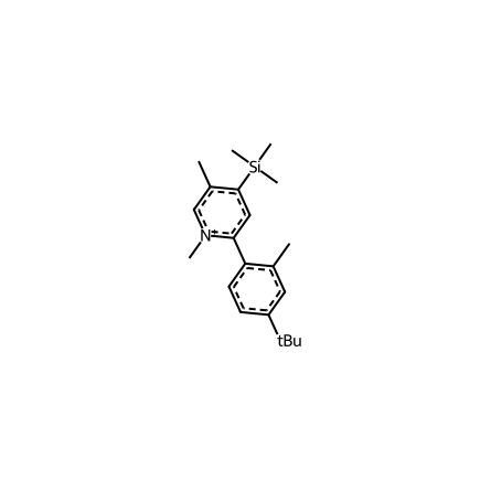 Cc1cc(C(C)(C)C)ccc1-c1cc([Si](C)(C)C)c(C)c[n+]1C